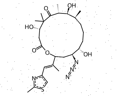 C/C(=C\c1csc(C)n1)C1C[C@H](N=[N+]=[N-])[C@@H](O)CCC[C@H](C)[C@H](O)[C@@H](C)C(=O)C(C)(C)[C@@H](O)CC(=O)O1